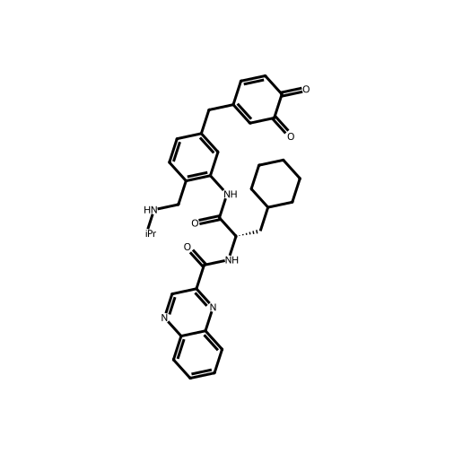 CC(C)NCc1ccc(CC2=CC(=O)C(=O)C=C2)cc1NC(=O)[C@H](CC1CCCCC1)NC(=O)c1cnc2ccccc2n1